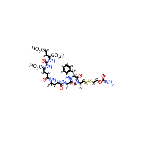 C[C@H](CCC(=O)N[C@@H](C)C(=O)N[C@H](Cc1ccccc1)C(=O)N[C@@H](C)CSSCCOC(N)=O)NC(=O)CC[C@H](NC(=O)N[C@@H](CCC(=O)O)C(=O)O)C(=O)O